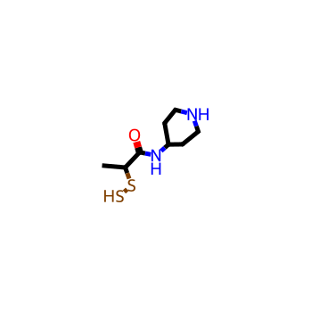 CC(SS)C(=O)NC1CCNCC1